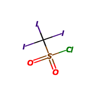 O=S(=O)(Cl)C(I)(I)I